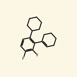 Fc1ccc(C2CCCCC2)c(C2=CCCCC2)c1F